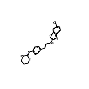 Clc1ccc2nc(NCCc3ccc(/N=C4/NCCCS4)cc3)sc2c1